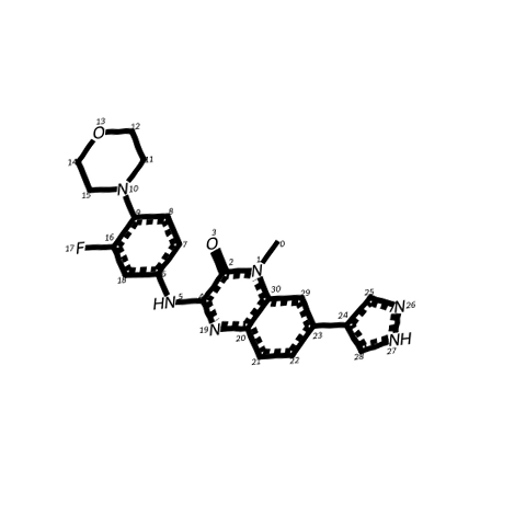 Cn1c(=O)c(Nc2ccc(N3CCOCC3)c(F)c2)nc2ccc(-c3cn[nH]c3)cc21